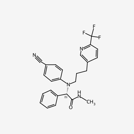 CNC(=O)[C@H](c1ccccc1)N(CCCc1ccc(C(F)(F)F)nc1)c1ccc(C#N)cc1